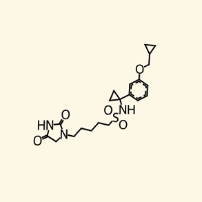 O=C1CN(CCCCCS(=O)(=O)NC2(c3cccc(OCC4CC4)c3)CC2)C(=O)N1